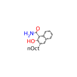 CCCCCCCCc1cc2ccccc2c(C(N)=O)c1O